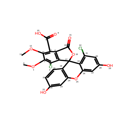 COc1c(Cl)c2c(c(C(=O)O)c1OC)C(=O)OC21c2ccc(O)cc2Oc2cc(O)cc(Cl)c21